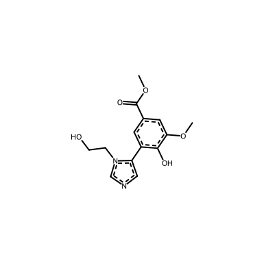 COC(=O)c1cc(OC)c(O)c(-c2cncn2CCO)c1